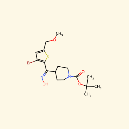 COCc1cc(Br)c(/C(=N/O)C2CCN(C(=O)OC(C)(C)C)CC2)s1